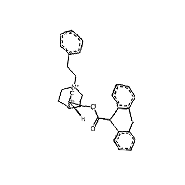 O=C(O[C@H]1C[N+]2(CCc3ccccc3)CCC1CC2)C1c2ccccc2Cc2ccccc21